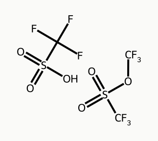 O=S(=O)(O)C(F)(F)F.O=S(=O)(OC(F)(F)F)C(F)(F)F